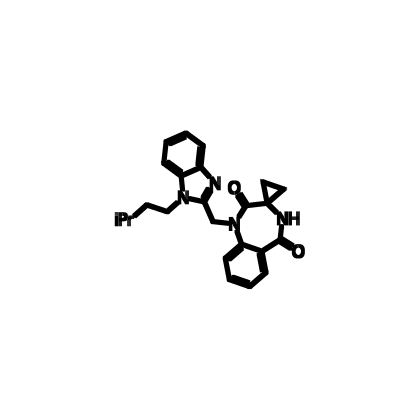 CC(C)CCn1c(CN2C(=O)C3(CC3)NC(=O)c3ccccc32)nc2ccccc21